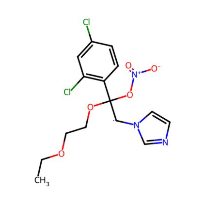 CCOCCOC([CH]n1ccnc1)(O[N+](=O)[O-])c1ccc(Cl)cc1Cl